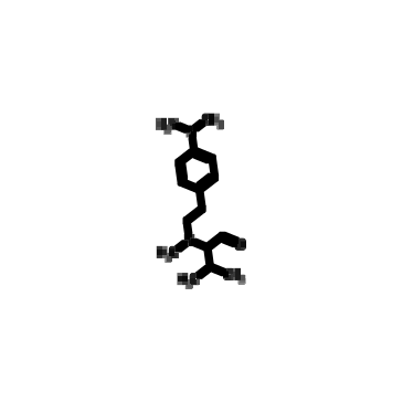 CC(C)C(C=O)N(C)CCc1ccc(N(C)N)cc1